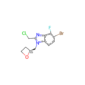 Fc1c(Br)ccc2c1nc(CCl)n2C[C@@H]1CCO1